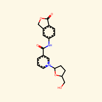 O=C(Nc1ccc2c(c1)COC2=O)c1ccc[n+](C2CCC(CO)O2)c1